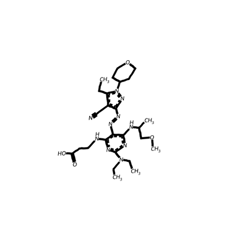 CCc1c(C#N)c(N=Nc2c(NCCC(=O)O)nc(N(CC)CC)nc2NC(C)COC)nn1C1CCOCC1